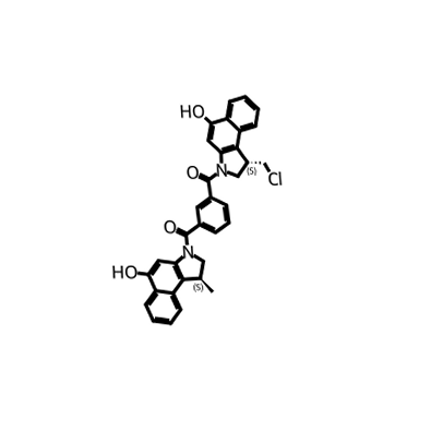 C[C@@H]1CN(C(=O)c2cccc(C(=O)N3C[C@@H](CCl)c4c3cc(O)c3ccccc43)c2)c2cc(O)c3ccccc3c21